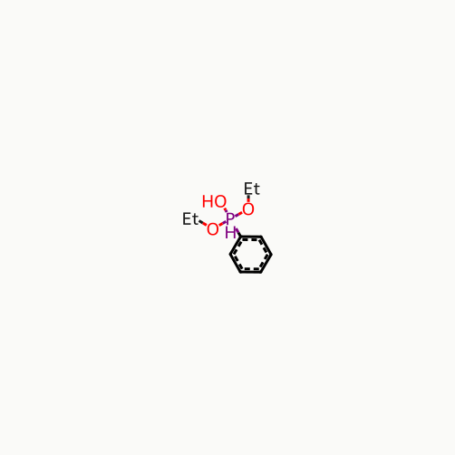 CCO[PH](O)(OCC)c1ccccc1